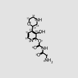 NCC(=O)NC(=O)Oc1nccc(C2CNCCO2)c1O